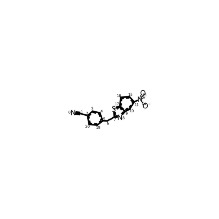 N#Cc1ccc(Cc2nc3cc([N+](=O)[O-])ccc3s2)cc1